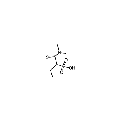 CCC(C(=S)N(C)C)S(=O)(=O)O